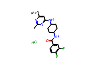 CNc1cc(NC2CCC(NC(=O)c3ccc(F)c(F)c3)CC2)nc(C)n1.Cl